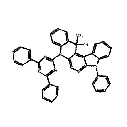 CC1(C)c2ccccc2N(c2nc(-c3ccccc3)nc(-c3ccccc3)n2)c2cnc3c(c21)c1ccccc1n3-c1ccccc1